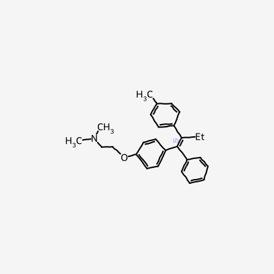 CC/C(=C(\c1ccccc1)c1ccc(OCCN(C)C)cc1)c1ccc(C)cc1